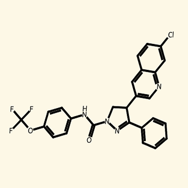 O=C(Nc1ccc(OC(F)(F)F)cc1)N1CC(c2cnc3cc(Cl)ccc3c2)C(c2ccccc2)=N1